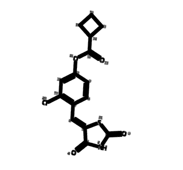 O=C1NC(=O)/C(=C/c2ccc(OC(=O)C3CCC3)cc2Cl)S1